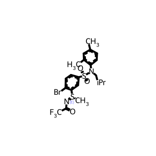 Cc1ccc(N(CC(C)C)S(=O)(=O)c2ccc(Br)c(/S(C)=N/C(=O)C(F)(F)F)c2)c(C)c1